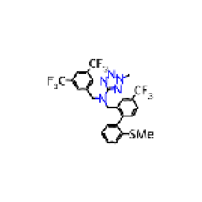 CSc1ccccc1-c1ccc(C(F)(F)F)cc1CN(Cc1cc(C(F)(F)F)cc(C(F)(F)F)c1)c1nnn(C)n1